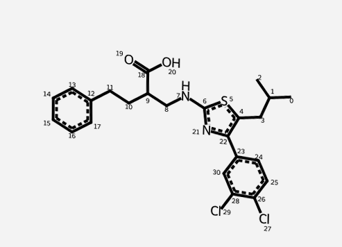 CC(C)Cc1sc(NCC(CCc2ccccc2)C(=O)O)nc1-c1ccc(Cl)c(Cl)c1